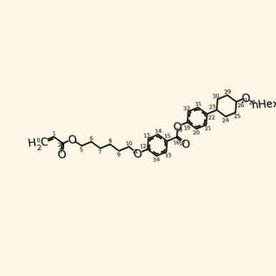 C=CC(=O)OCCCCCCOc1ccc(C(=O)Oc2ccc(C3CCC(OCCCCCC)CC3)cc2)cc1